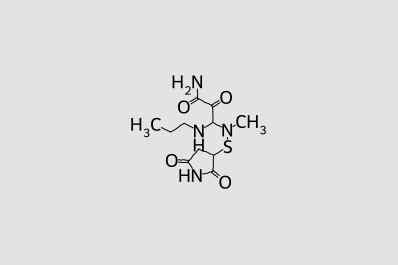 CCCNC(C(=O)C(N)=O)N(C)SC1CC(=O)NC1=O